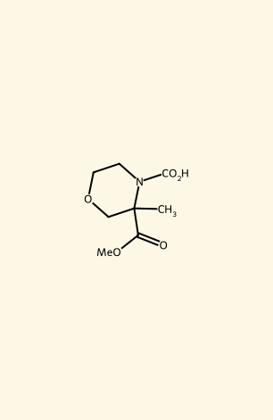 COC(=O)C1(C)COCCN1C(=O)O